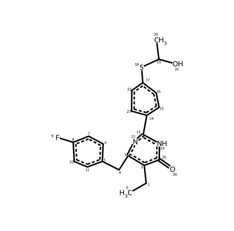 CCc1c(Cc2ccc(F)cc2)nc(-c2ccc(SC(C)O)cc2)[nH]c1=O